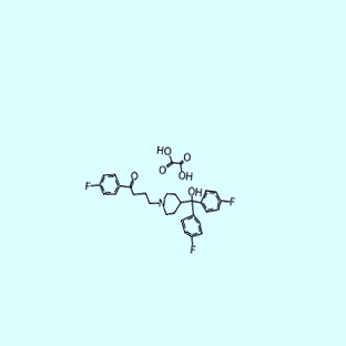 O=C(CCCN1CCC(C(O)(c2ccc(F)cc2)c2ccc(F)cc2)CC1)c1ccc(F)cc1.O=C(O)C(=O)O